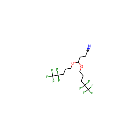 N#CCCC(OCCCC(F)(F)C(F)(F)F)OCCCC(F)(F)C(F)(F)F